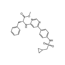 COC(=O)[C@H](Cc1ccccc1)Nc1cc(-c2ccc(NS(=O)(=O)CC3CC3)cc2)ncn1